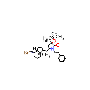 CCCC1(O[Si](C)(C)C)CC(CC2CC[C@H]3/C(=C/Br)CCC[C@]23C)N(CCc2ccccc2)C1=O